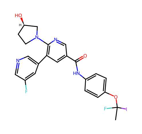 CC(F)(I)Oc1ccc(NC(=O)c2cnc(N3CC[C@@H](O)C3)c(-c3cncc(F)c3)c2)cc1